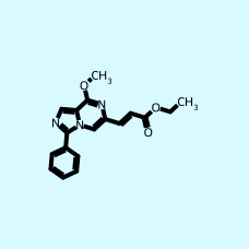 CCOC(=O)/C=C/c1cn2c(-c3ccccc3)ncc2c(OC)n1